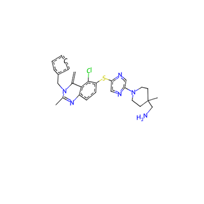 C=C1c2c(ccc(Sc3cnc(N4CCC(C)(CN)CC4)cn3)c2Cl)N=C(C)N1Cc1ccccc1